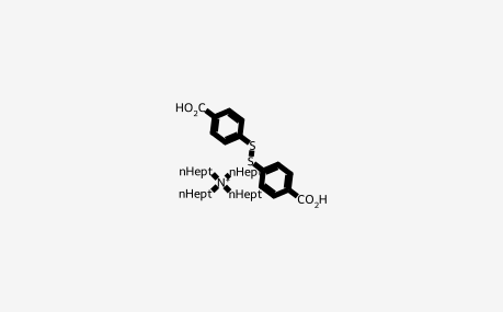 CCCCCCC[N+](CCCCCCC)(CCCCCCC)CCCCCCC.O=C(O)c1ccc(SSc2ccc(C(=O)O)cc2)cc1